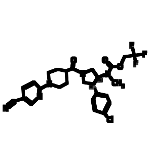 CN(C(=O)OCC(F)(F)F)[C@@H]1CN(C(=O)C2CCN(c3ccc(C#N)cn3)CC2)C[C@H]1c1ccc(Cl)cc1